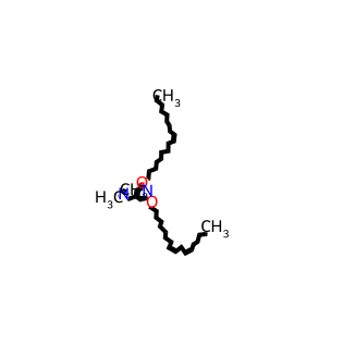 CCCCC/C=C\C/C=C\CCCCCCCCOc1cc(CN(C)C)cc(OCCCCCCCC/C=C\CCCCCCCC)n1